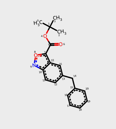 CC(C)(C)OC(=O)c1onc2ccc(Cc3ccccc3)cc12